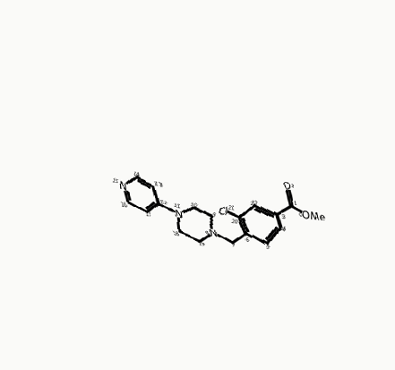 COC(=O)c1ccc(CN2CCN(c3ccncc3)CC2)c(Cl)c1